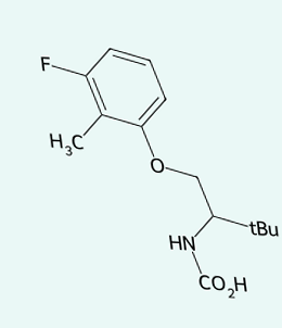 Cc1c(F)cccc1OCC(NC(=O)O)C(C)(C)C